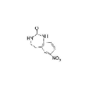 O=C1NCCc2cc([N+](=O)[O-])ccc2N1